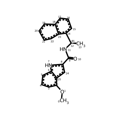 COc1cccc2[nH]c(C(=O)N[C@H](C)c3cccc4ccccc34)cc12